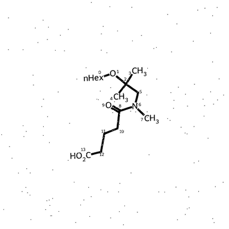 CCCCCCOC(C)(C)CN(C)C(=O)CCCC(=O)O